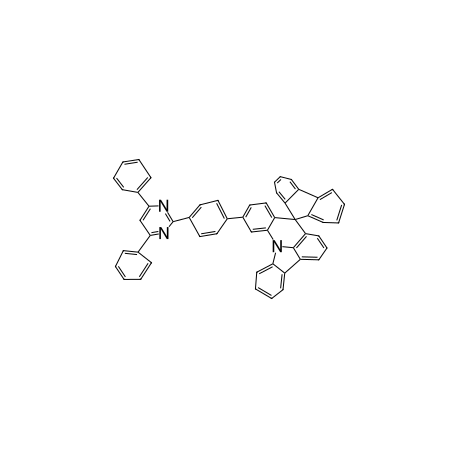 c1ccc(-c2cc(-c3ccccc3)nc(-c3ccc(-c4ccc5c(c4)-n4c6ccccc6c6cccc(c64)C54c5ccccc5-c5ccccc54)cc3)n2)cc1